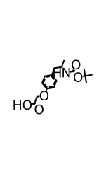 CC(Cc1ccc(OCC(=O)O)cc1)NC(=O)OC(C)(C)C